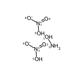 NO.O=[N+]([O-])O.O=[N+]([O-])O